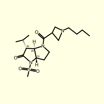 CCCCN1CC(C(=O)N2CC[C@H]3[C@H]2[C@@H](C(C)C)C(=O)N3S(C)(=O)=O)C1